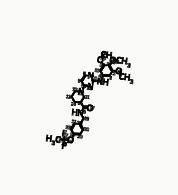 COc1cc(Nc2nccc(N3CCC[C@H](C(=O)NCc4ccc(OC(C)(F)F)cc4)C3)n2)cc(OC)c1OC